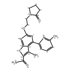 Cc1cccc(-c2nc(OCCN3CCCC3=O)nc3sc(C(N)=O)c(N)c23)n1